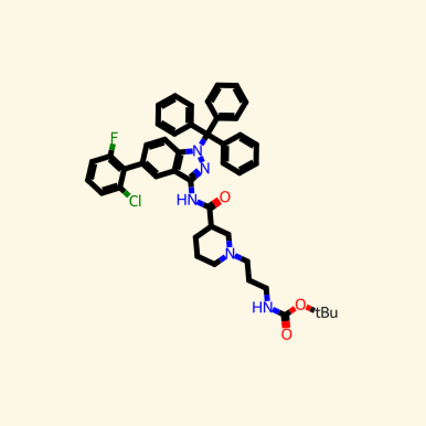 CC(C)(C)OC(=O)NCCCN1CCCC(C(=O)Nc2nn(C(c3ccccc3)(c3ccccc3)c3ccccc3)c3ccc(-c4c(F)cccc4Cl)cc23)C1